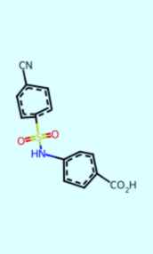 N#Cc1ccc(S(=O)(=O)Nc2ccc(C(=O)O)cc2)cc1